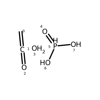 C=C=O.O.O=[PH](O)O